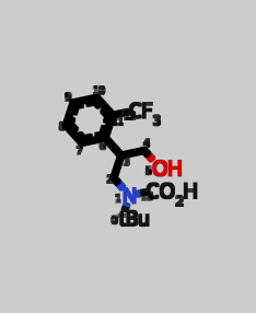 CC(C)(C)N(CC(CO)c1ccccc1C(F)(F)F)C(=O)O